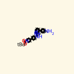 CC(C)(C)OC(=O)N1CCC(c2ccc(Nc3nc4c(-c5ccc(N)cc5)cccn4n3)cc2)CC1